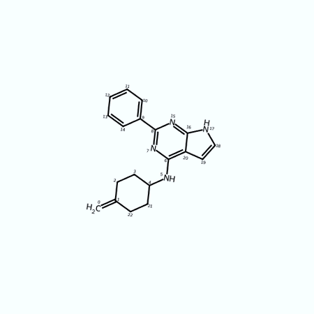 C=C1CCC(Nc2nc(-c3ccccc3)nc3[nH]ccc23)CC1